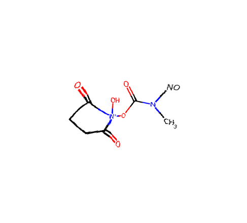 CN(N=O)C(=O)O[N+]1(O)C(=O)CCC1=O